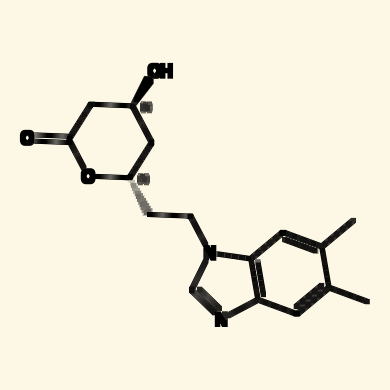 Cc1cc2ncn(CC[C@H]3C[C@H](O)CC(=O)O3)c2cc1C